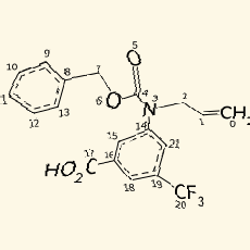 C=CCN(C(=O)OCc1ccccc1)c1cc(C(=O)O)cc(C(F)(F)F)c1